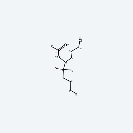 CCCCC(C)(C)C(CCCCl)OC(C)=O